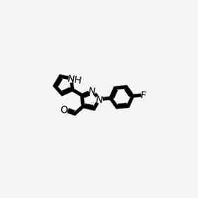 O=Cc1cn(-c2ccc(F)cc2)nc1-c1ccc[nH]1